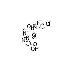 O=C(O)c1ccc2nc(CN3CCC(Oc4ccn(Cc5ccc(Cl)cc5F)n4)CC3)n(CC3CCO3)c2c1